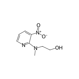 CN(CCO)c1ncccc1[N+](=O)[O-]